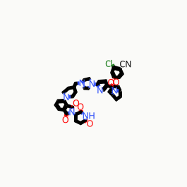 N#Cc1ccc(OC2CC3CCC(C2)N3C(=O)c2ccc(N3CCN(CC4CCN(c5cccc6c5C(=O)N(C5CCC(=O)NC5=O)C6=O)CC4)CC3)nc2)cc1Cl